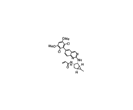 C=CC(=O)N[C@H]1C[C@@H]2C(C)[C@@H]2[C@H]1Nc1ncc2cc(-c3c(Cl)c(OC)cc(OC)c3Cl)ccc2n1